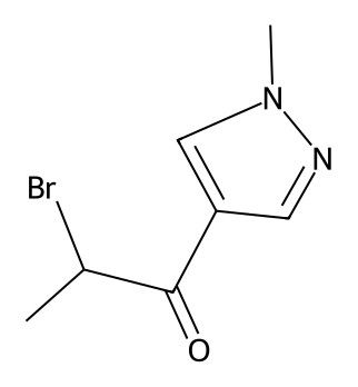 CC(Br)C(=O)c1cnn(C)c1